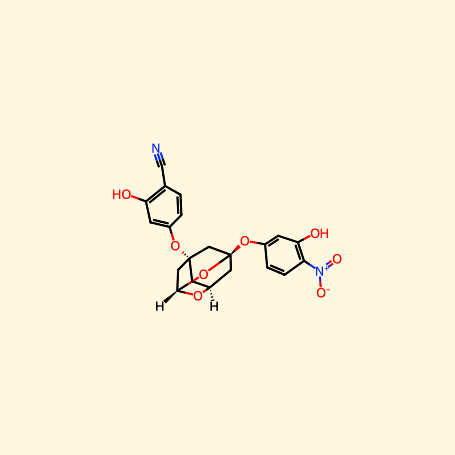 N#Cc1ccc(O[C@@]23C[C@H]4C[C@@](Oc5ccc([N+](=O)[O-])c(O)c5)(C2)O[C@@H](C3)O4)cc1O